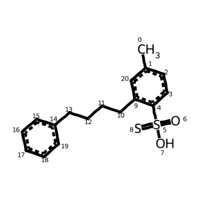 Cc1ccc(S(=O)(O)=S)c(CCCCc2ccccc2)c1